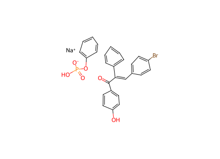 O=C(/C(=C/c1ccc(Br)cc1)c1ccccc1)c1ccc(O)cc1.O=P([O-])(O)Oc1ccccc1.[Na+]